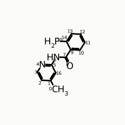 Cc1ccnc(NC(=O)c2ccccc2P)c1